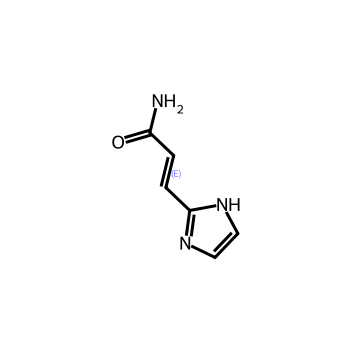 NC(=O)/C=C/c1ncc[nH]1